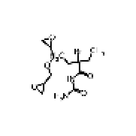 C(OCC1CO1)C1CO1.CCC(Br)(CC)C(=O)NC(N)=O